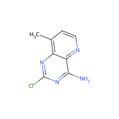 Cc1ccnc2c(N)nc(Cl)nc12